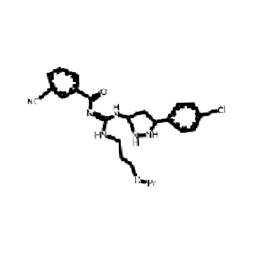 CC(C)OCCCN/C(=N/C(=O)c1cccc(C#N)c1)NC1CC(c2ccc(Cl)cc2)NN1